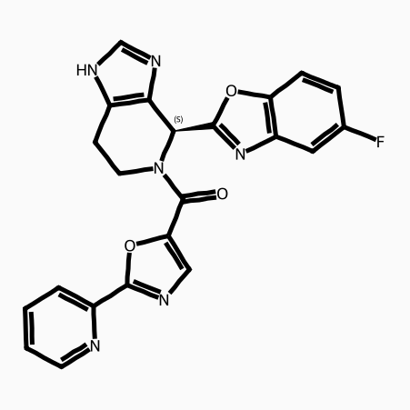 O=C(c1cnc(-c2ccccn2)o1)N1CCc2[nH]cnc2[C@H]1c1nc2cc(F)ccc2o1